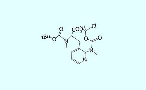 CC(Cl)OC(=O)N(C)c1ncccc1CC(C(=O)O)N(C)C(=O)OC(C)(C)C